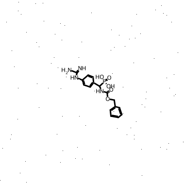 N=C(N)Nc1ccc(C(NC(=O)OCc2ccccc2)P(=O)(O)O)cc1